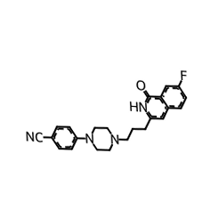 N#Cc1ccc(N2CCN(CCCc3cc4ccc(F)cc4c(=O)[nH]3)CC2)cc1